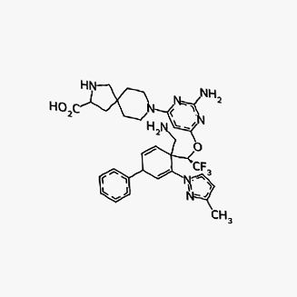 Cc1ccn(C2=CC(c3ccccc3)C=CC2(CN)[C@@H](Oc2cc(N3CCC4(CC3)CNC(C(=O)O)C4)nc(N)n2)C(F)(F)F)n1